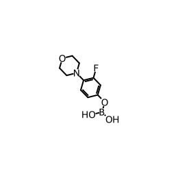 OB(O)Oc1ccc(N2CCOCC2)c(F)c1